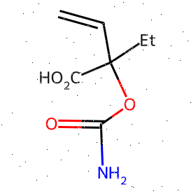 C=CC(CC)(OC(N)=O)C(=O)O